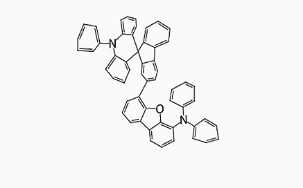 c1ccc(N2c3ccccc3C3(c4ccccc4-c4ccc(-c5cccc6c5oc5c(N(c7ccccc7)c7ccccc7)cccc56)cc43)c3ccccc32)cc1